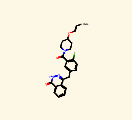 COCCOC1CCN(C(=O)c2cc(Cc3n[nH]c(=O)c4ccccc34)ccc2F)CC1